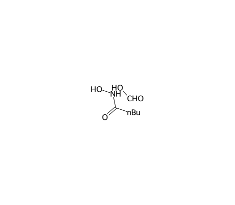 CCCCC(=O)NO.O=CO